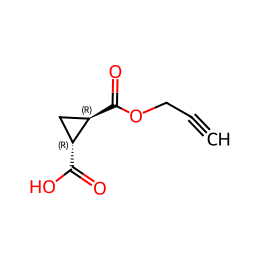 C#CCOC(=O)[C@@H]1C[C@H]1C(=O)O